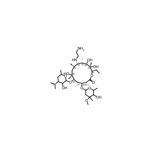 CC[C@H]1OC(=O)[C@H](C)[C@@H](OC2CC(C)(OC)C(O)C(C)O2)[C@H](C)[C@@H](OC2OC(C)CC(N(C)C)C2O)[C@](C)(O)C[C@@H](C)[C@H](NCCN)[C@H](C)[C@@H](O)[C@]1(C)O